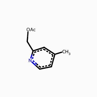 CC(=O)OCc1cc(C)ccn1